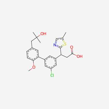 COc1ccc(CC(C)(C)O)cc1-c1cc(Cl)cc(C(CC(=O)O)c2ncc(C)s2)c1